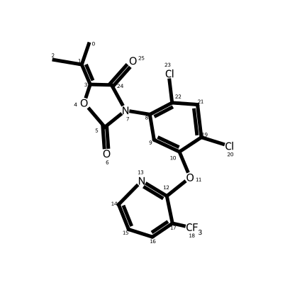 CC(C)=C1OC(=O)N(c2cc(Oc3ncccc3C(F)(F)F)c(Cl)cc2Cl)C1=O